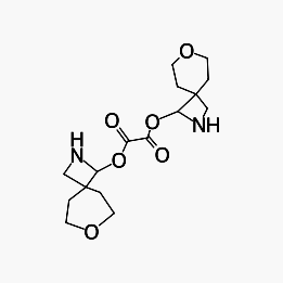 O=C(OC1NCC12CCOCC2)C(=O)OC1NCC12CCOCC2